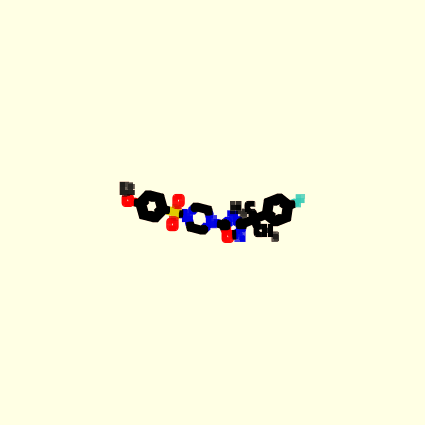 CCOc1ccc(S(=O)(=O)N2CCN(c3nc(C(C)(C)c4ccc(F)cc4)no3)CC2)cc1